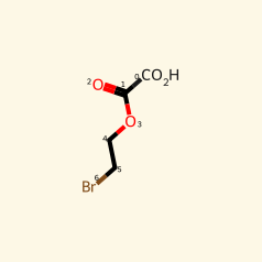 O=C(O)C(=O)OCCBr